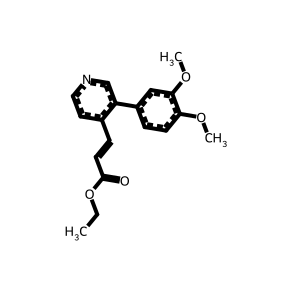 CCOC(=O)C=Cc1ccncc1-c1ccc(OC)c(OC)c1